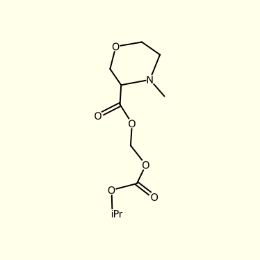 CC(C)OC(=O)OCOC(=O)C1COCCN1C